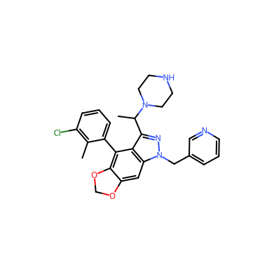 Cc1c(Cl)cccc1-c1c2c(cc3c1c(C(C)N1CCNCC1)nn3Cc1cccnc1)OCO2